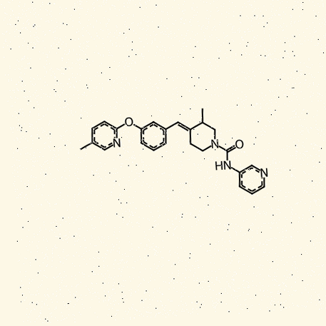 Cc1ccc(Oc2cccc(C=C3CCN(C(=O)Nc4cccnc4)CC3C)c2)nc1